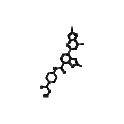 Cc1cn2nc(-c3ccc(C(=O)NC4CCN(C(=O)OC(C)(C)C)CC4)c4nn(C)cc34)cc(C)c2n1